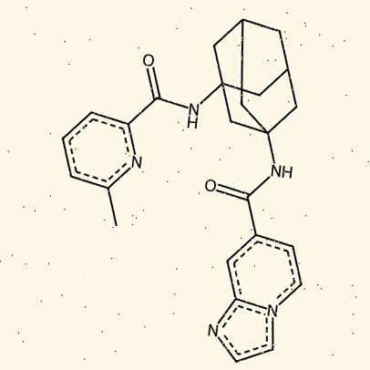 Cc1cccc(C(=O)NC23CC4CC(CC(NC(=O)c5ccn6ccnc6c5)(C4)C2)C3)n1